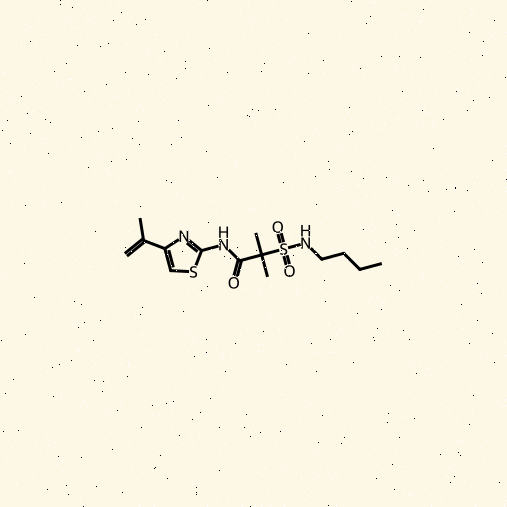 C=C(C)c1csc(NC(=O)C(C)(C)S(=O)(=O)NCCCC)n1